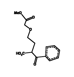 COC(=O)COCCC(C(=O)O)C(=O)c1ccccc1